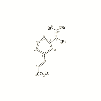 CCOC(=O)/C=C/c1cccc(C(CC)=C(Br)Br)c1